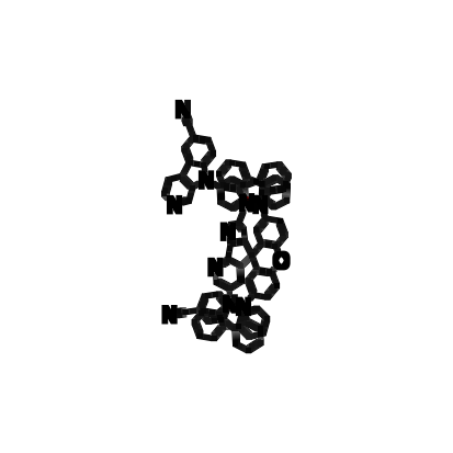 N#Cc1ccc2c(c1)c1ccccc1n2-c1ccc2c(c1)C1(c3cc(-n4c5ccccc5c5cc(-n6c7ccc(C#N)cc7c7ccncc76)ccc54)ccc3O2)c2cc(-n3c4ccccc4c4ccccc43)cnc2-c2ncc(-n3c4ccccc4c4ccccc43)cc21